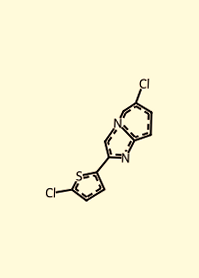 Clc1ccc2nc(-c3ccc(Cl)s3)cn2c1